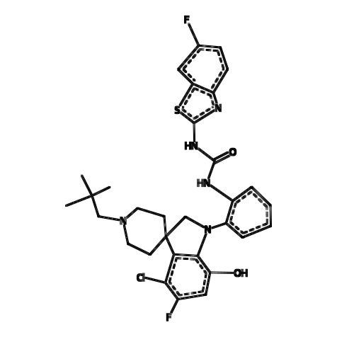 CC(C)(C)CN1CCC2(CC1)CN(c1ccccc1NC(=O)Nc1nc3ccc(F)cc3s1)c1c(O)cc(F)c(Cl)c12